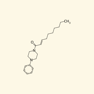 CCCCCCCC=CC(=O)N1CCN(c2ccccc2)CC1